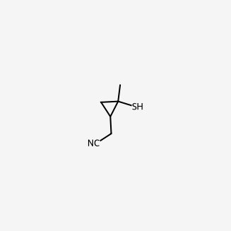 CC1(S)CC1CC#N